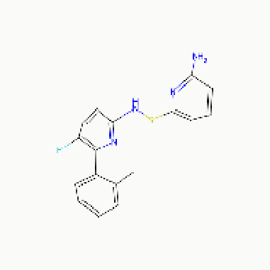 Cc1ccccc1-c1nc(NSc2cccc(N)n2)ccc1F